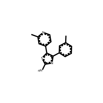 CCCc1nc(-c2cccc(C)c2)c(-c2ccnc(C)c2)s1